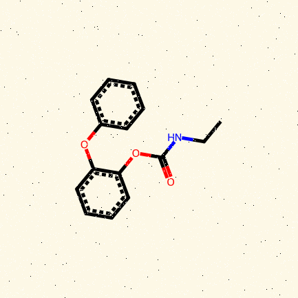 CCNC(=O)Oc1ccccc1Oc1ccccc1